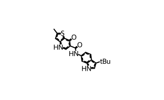 Cc1cc2[nH]cc(C(=O)Nc3ccc4c(C(C)(C)C)c[nH]c4c3)c(=O)c2s1